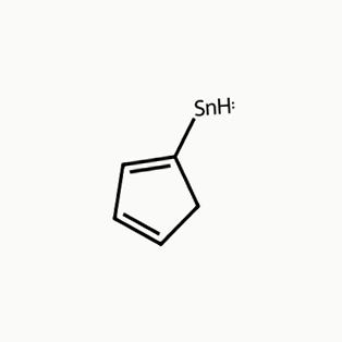 [SnH][C]1=CC=CC1